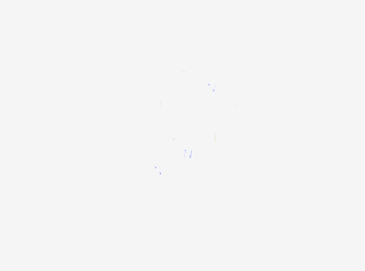 Fc1nc(F)c(F)c(-c2cc(-c3ccccc3)nc(-c3ccccc3)n2)c1F